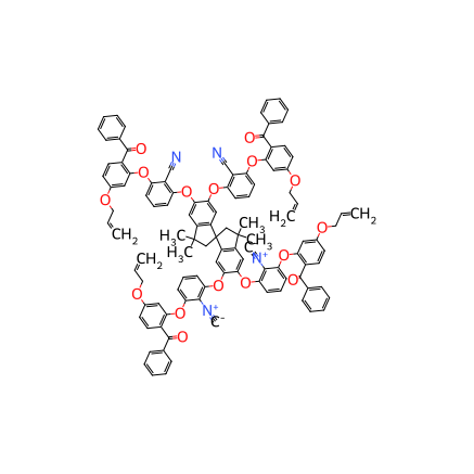 [C-]#[N+]c1c(Oc2cc3c(cc2Oc2cccc(Oc4cc(OCC=C)ccc4C(=O)c4ccccc4)c2[N+]#[C-])C2(CC(C)(C)c4cc(Oc5cccc(Oc6cc(OCC=C)ccc6C(=O)c6ccccc6)c5C#N)c(Oc5cccc(Oc6cc(OCC=C)ccc6C(=O)c6ccccc6)c5C#N)cc42)CC3(C)C)cccc1Oc1cc(OCC=C)ccc1C(=O)c1ccccc1